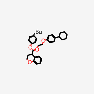 CCC(C)c1ccc(OC(OCCOc2ccc(C3CCCCC3)cc2)C2CCOc3ccccc32)cc1